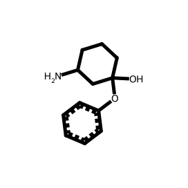 NC1CCCC(O)(Oc2ccccc2)C1